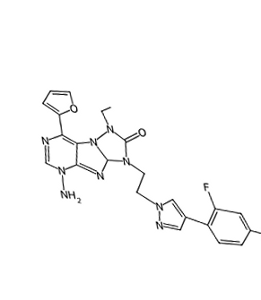 CCN1C(=O)N(CCn2cc(-c3ccc(F)cc3F)cn2)C2N=C3C(=C(c4ccco4)N=CN3N)N21